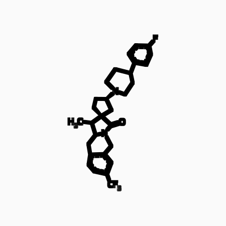 CC1C2Cc3ccc(C(F)(F)F)cc3CN2C(=O)[C@]12CC[C@@H](N1CCC(c3ccc(F)cc3)CC1)C2